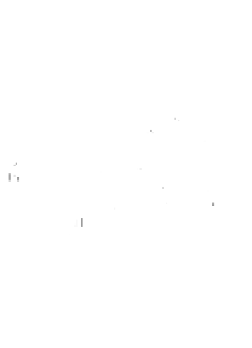 CC(C)CC(S)C(C)(C)C(=O)OC(C)C(C)I